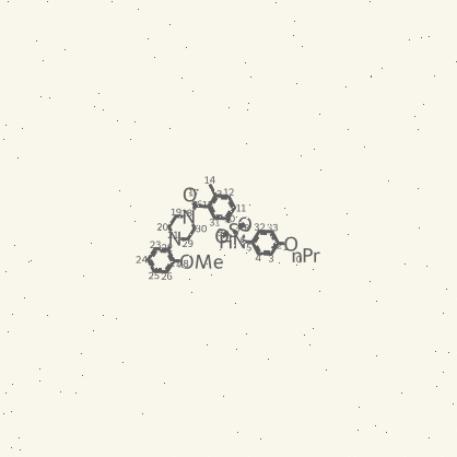 CCCOc1ccc(NS(=O)(=O)c2ccc(C)c(C(=O)N3CCN(c4ccccc4OC)CC3)c2)cc1